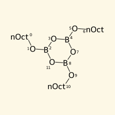 CCCCCCCCOB1OB(OCCCCCCCC)OB(OCCCCCCCC)O1